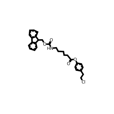 O=C(CCCCCNC(=O)OCC1c2ccccc2-c2ccccc21)Oc1ccc(CCCl)cc1